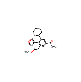 COC(=O)c1cc(C=COC(C)(C)C)c(-c2ccoc2)c(C2CCCCC2)c1